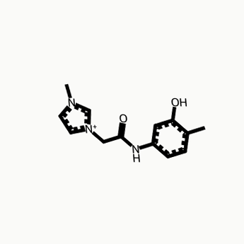 Cc1ccc(NC(=O)C[n+]2ccn(C)c2)cc1O